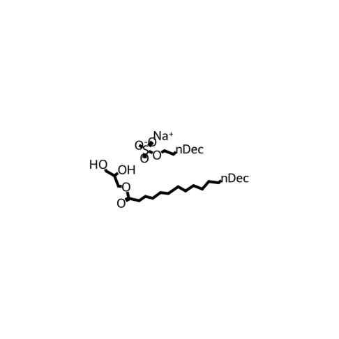 CCCCCCCCCCCCCCCCCCCCCC(=O)OCC(O)CO.CCCCCCCCCCCCOS(=O)(=O)[O-].[Na+]